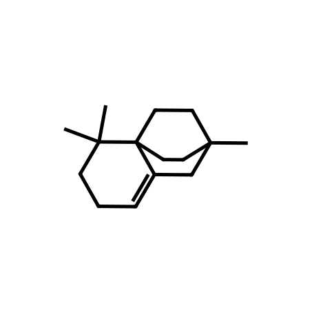 CC12CCC3(CC1)C(=CCCC3(C)C)C2